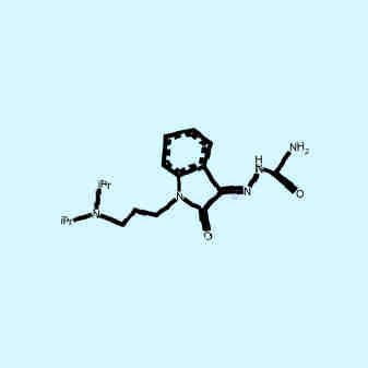 CC(C)N(CCCN1C(=O)/C(=N/NC(N)=O)c2ccccc21)C(C)C